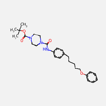 CC(C)(C)OC(=O)N1CCN(C(=O)Nc2ccc(CCCCCOc3ccccc3)cc2)CC1